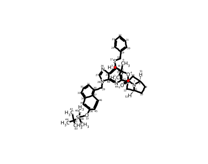 CC(C)(C)OC(=O)N1[C@@H]2CC[C@H]1CN(c1nc(SCc3ccccc3)c3ncn(Cc4cccc5cc(O[Si](C)(C)C(C)(C)C)ccc45)c3n1)C2